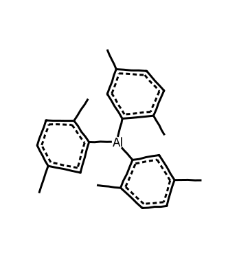 Cc1ccc(C)[c]([Al]([c]2cc(C)ccc2C)[c]2cc(C)ccc2C)c1